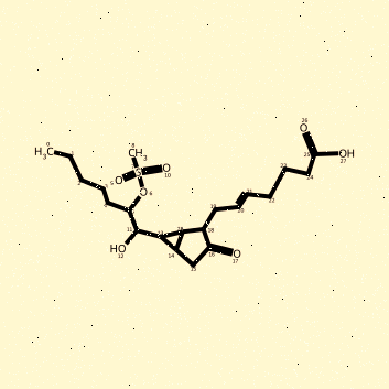 CCCCCC(OS(C)(=O)=O)C(O)C1C2CC(=O)C(CC=CCCCC(=O)O)C21